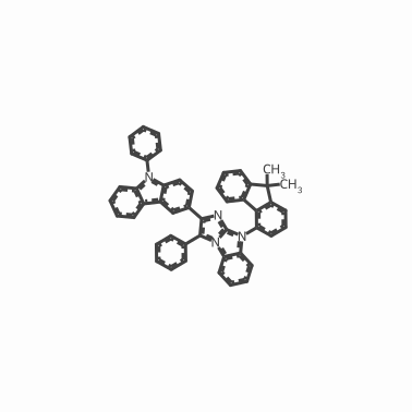 CC1(C)c2ccccc2-c2c(-n3c4ccccc4n4c(-c5ccccc5)c(-c5ccc6c(c5)c5ccccc5n6-c5ccccc5)nc34)cccc21